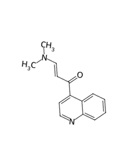 CN(C)C=CC(=O)c1ccnc2ccccc12